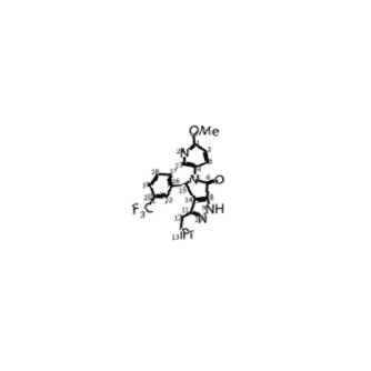 COc1ccc(N2C(=O)c3[nH]nc(CC(C)C)c3[C@H]2c2cccc(C(F)(F)F)c2)cn1